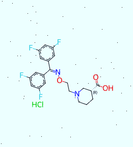 Cl.O=C(O)[C@@H]1CCCN(CCON=C(c2cc(F)cc(F)c2)c2cc(F)cc(F)c2)C1